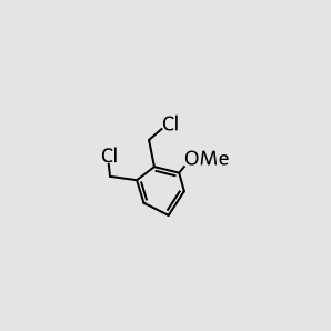 COc1cccc(CCl)c1CCl